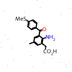 CSc1ccc(C(=O)c2cc(C)cc(CC(=O)O)c2N)cc1